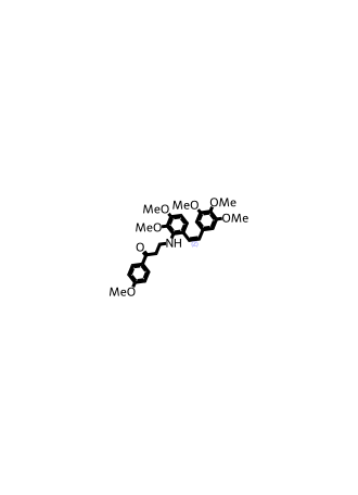 COc1ccc(C(=O)CCNc2c(/C=C\c3cc(OC)c(OC)c(OC)c3)ccc(OC)c2OC)cc1